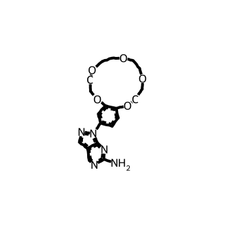 Nc1ncc2cnn(-c3ccc4c(c3)OCCOCCOCCOCCO4)c2n1